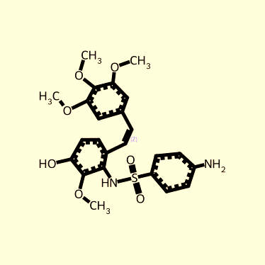 COc1cc(/C=C\c2ccc(O)c(OC)c2NS(=O)(=O)c2ccc(N)cc2)cc(OC)c1OC